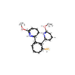 COc1cccc(-c2cccc(P)c2-c2cccc(OC)n2)n1